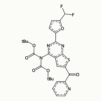 CC(C)(C)OC(=O)N(C(=O)OC(C)(C)C)c1nc(-c2ccc(C(F)F)o2)nc2sc(C(=O)c3ccccn3)cc12